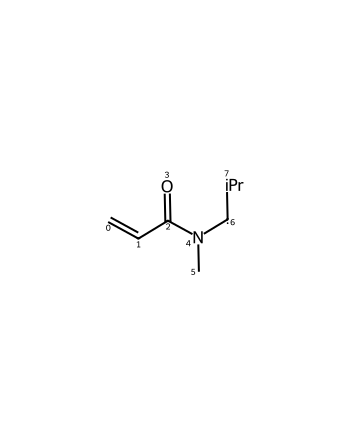 C=CC(=O)N(C)[CH]C(C)C